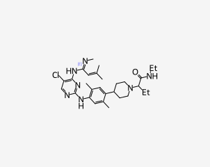 CCNC(=O)C(CC)N1CCC(c2cc(C)c(Nc3ncc(Cl)c(N/C(C=C(C)C)=N/C)n3)cc2C)CC1